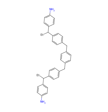 CCC(c1ccc(N)cc1)c1ccc(Cc2ccc(Cc3ccc(C(CC)c4ccc(N)cc4)cc3)cc2)cc1